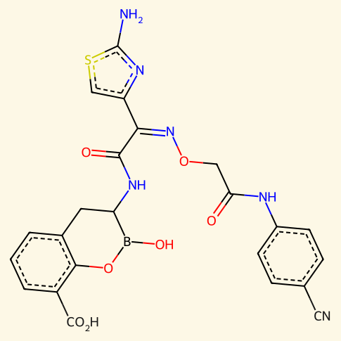 N#Cc1ccc(NC(=O)CON=C(C(=O)NC2Cc3cccc(C(=O)O)c3OB2O)c2csc(N)n2)cc1